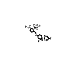 COC(=O)N1C(C)CCC1CO[C@H]1CC[C@@]2(c3ncc(F)cn3)C[C@H]2C1